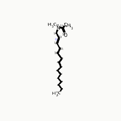 CCCCCCCCCCCC/C=C/CN(C)C(C)=O